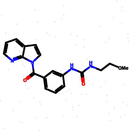 COCCNC(=O)Nc1cccc(C(=O)n2ccc3cccnc32)c1